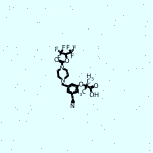 CC(C)(Oc1cc(C#N)cc(CN2CCN(C(=O)OC(C(F)(F)F)C(F)(F)F)CC2)c1)C(=O)O